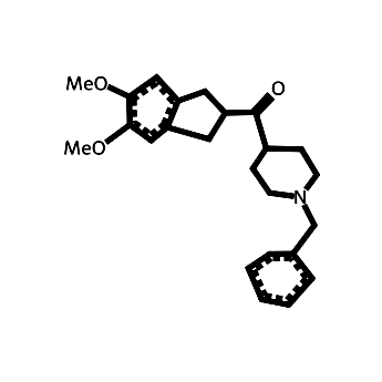 COc1cc2c(cc1OC)CC(C(=O)C1CCN(Cc3ccccc3)CC1)C2